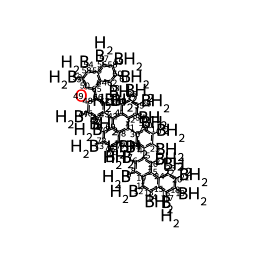 Bc1c(B)c(-c2c(B)c(B)c3c(B)c(B)c4c(B)c(B)c(B)c(B)c4c3c2B)c(B)c(-c2c3c(B)c(B)c(B)c(B)c3c(-c3c(B)c(B)c4oc5c(B)c(B)c6c(B)c(B)c(B)c(B)c6c5c4c3B)c3c(B)c(B)c(B)c(B)c23)c1B